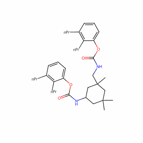 CCCc1cccc(OC(=O)NCC2(C)CC(NC(=O)Oc3cccc(CCC)c3CCC)CC(C)(C)C2)c1CCC